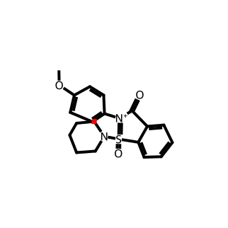 COc1ccc([N+]2=S(=O)(N3CCCCC3)c3ccccc3C2=O)cc1